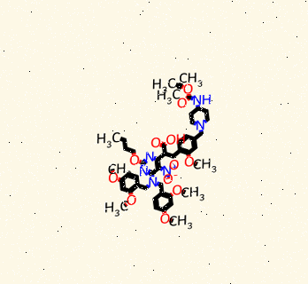 CCCCOc1nc(C(Cc2ccc(CN3CCC(NC(=O)OC(C)(C)C)CC3)cc2OC)C(=O)O)c([N+](=O)[O-])c(N(Cc2ccc(OC)cc2OC)Cc2ccc(OC)cc2OC)n1